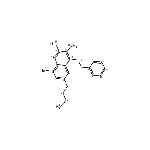 CCCCc1cc(Br)c2nc(C)c(C)c(OCc3ccccc3)c2c1